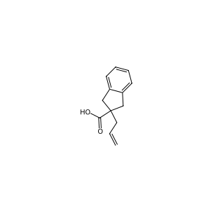 C=CCC1(C(=O)O)Cc2ccccc2C1